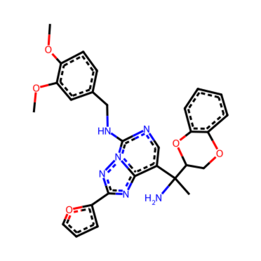 COc1ccc(CNc2ncc(C(C)(N)C3COc4ccccc4O3)c3nc(-c4ccco4)nn23)cc1OC